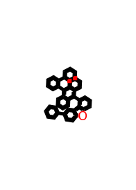 c1ccc(-c2ccc3oc4cccc(-c5c6ccccc6c(-c6ccccc6-c6ccccc6)c6ccccc56)c4c3c2)cc1